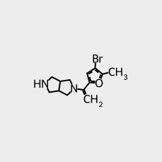 C=C(c1cc(Br)c(C)o1)N1CC2CNCC2C1